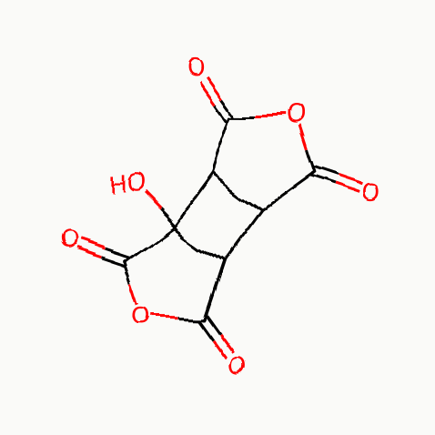 O=C1OC(=O)C2C1C1C(=O)OC(=O)C21O